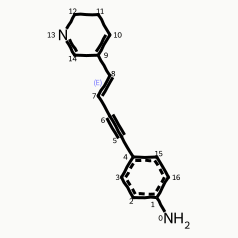 Nc1ccc(C#C/C=C/C2=CCCN=C2)cc1